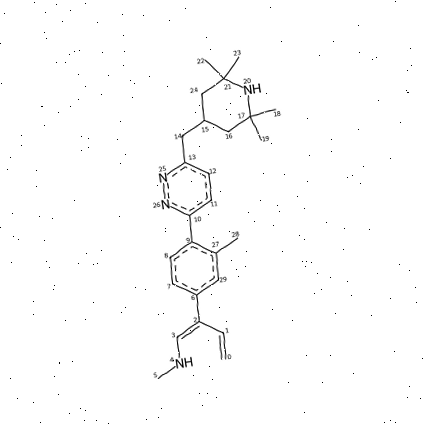 C=C/C(=C\NC)c1ccc(-c2ccc(CC3CC(C)(C)NC(C)(C)C3)nn2)c(C)c1